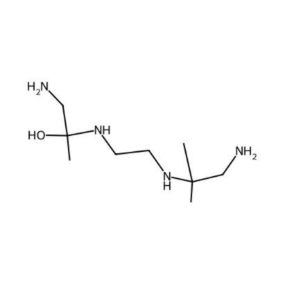 CC(C)(CN)NCCNC(C)(O)CN